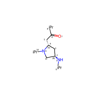 CC(C)N[C@@H]1C[C@@H](CC(=O)C(C)C)N(C(C)C)C1